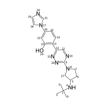 CC(C)(C)NC1CCN(c2ncc(-c3ccc(-n4ccnc4)cc3O)nn2)C1